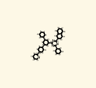 c1ccc(-c2cc(-c3ccc(-c4ccccn4)cc3)cc(-c3nc(-c4ccccc4)nc(-c4ccc5ccccc5c4)n3)c2)cc1